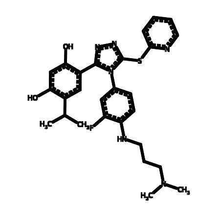 CC(C)c1cc(-c2nnc(Sc3ccccn3)n2-c2ccc(NCCCN(C)C)c(F)c2)c(O)cc1O